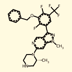 C[C@@H]1CNCCN1c1cc2c(cn1)c(-c1cc(C(F)(F)F)c(F)c(OCc3ccccc3)c1F)nn2C